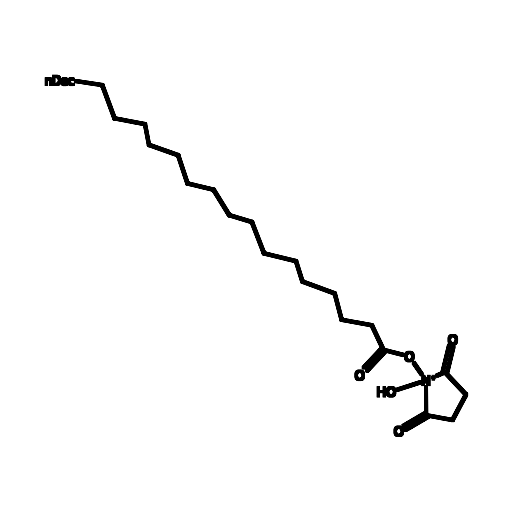 CCCCCCCCCCCCCCCCCCCCCCCCCC(=O)O[N+]1(O)C(=O)CCC1=O